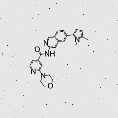 Cc1ccc(-c2ccc3cnc(NC(=O)c4ccnc(N5CCOCC5)c4)cc3c2)n1C